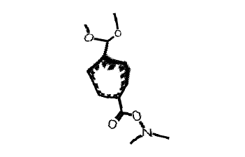 COC(OC)c1ccc(C(=O)ON(C)C)cc1